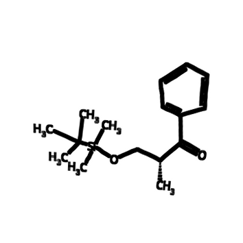 C[C@H](CO[Si](C)(C)C(C)(C)C)C(=O)c1ccccc1